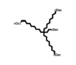 CCCCCCCC/C=C\CCCCCCCC(CCCCCCCCCCCC)(CCCCCCCCCCCCCCCCCC)CCCCCCCCCCCCCCCCCC